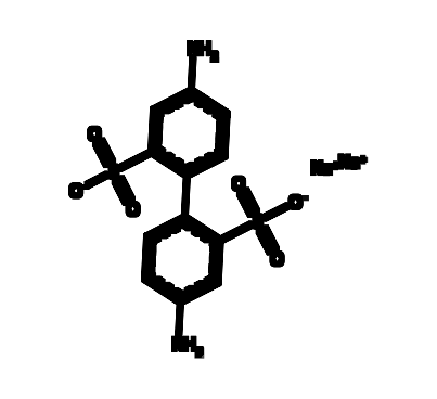 Nc1ccc(-c2ccc(N)cc2S(=O)(=O)[O-])c(S(=O)(=O)[O-])c1.[Na+].[Na+]